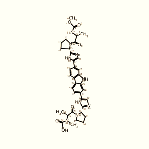 COC(=O)N[C@@H](C)C(=O)N1CCC[C@H]1c1ncc(-c2ccc3c(c2)[nH]c2cc(-c4cnc([C@@H]5CCCN5C(=O)[C@H](C)N(C)C(=O)O)[nH]4)ccc23)[nH]1